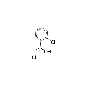 O[C@@H](CCl)c1ccccc1Cl